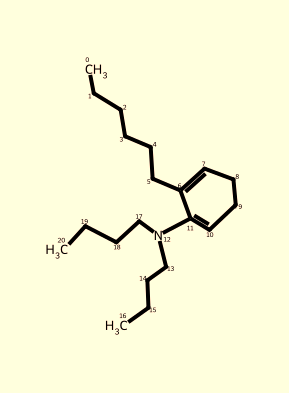 CCCCCCC1=CC[CH]C=C1N(CCCC)CCCC